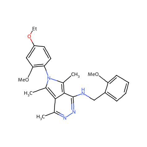 CCOc1ccc(-n2c(C)c3c(C)nnc(NCc4ccccc4OC)c3c2C)c(OC)c1